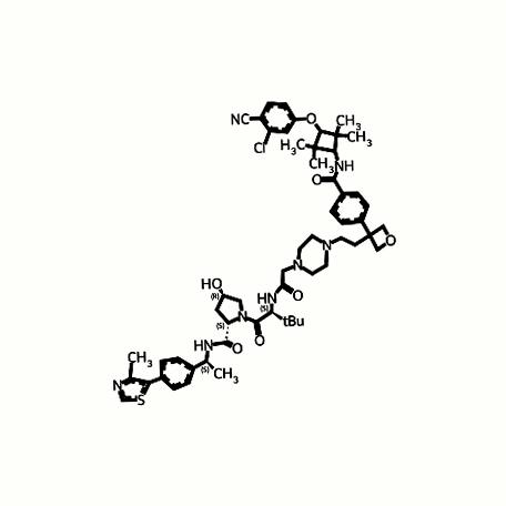 Cc1ncsc1-c1ccc([C@H](C)NC(=O)[C@@H]2C[C@@H](O)CN2C(=O)[C@@H](NC(=O)CN2CCN(CCC3(c4ccc(C(=O)NC5C(C)(C)C(Oc6ccc(C#N)c(Cl)c6)C5(C)C)cc4)COC3)CC2)C(C)(C)C)cc1